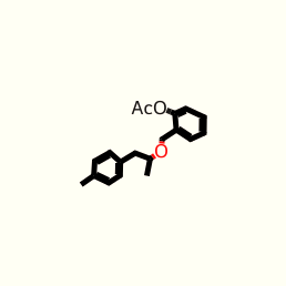 CC(=O)Oc1ccccc1COC(C)Cc1ccc(C)cc1